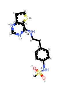 CS(=O)(=O)Nc1ccc(CCNc2ncnc3ccsc23)cc1